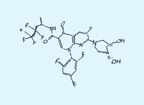 CC(NC(=O)c1cn(-c2c(F)cc(F)cc2F)c2nc(N3C[C@@H](O)[C@H](O)C3)c(F)cc2c1=O)C(F)(F)C(F)(F)F